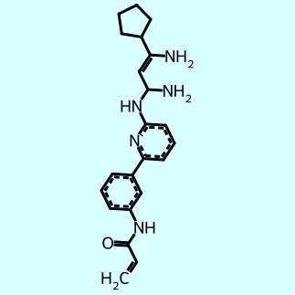 C=CC(=O)Nc1cccc(-c2cccc(NC(N)/C=C(\N)C3CCCC3)n2)c1